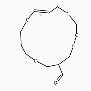 O=CC1CCCCCC/C=C/CCCCCC1